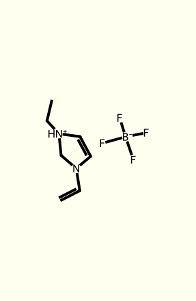 C=CN1C=C[NH+](CC)C1.F[B-](F)(F)F